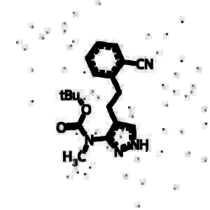 CN(C(=O)OC(C)(C)C)c1n[nH]cc1CCc1ccccc1C#N